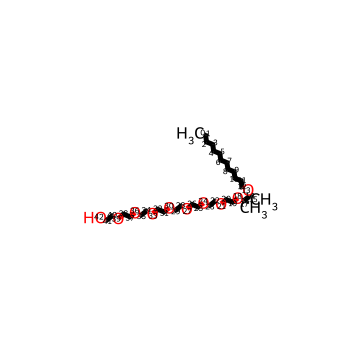 CCCCCCCCCCCCCOC(C)C(C)OCCOCCOCCOCCOCCOCCOCCOCCO